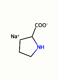 O=C([O-])C1CCCN1.[Na+]